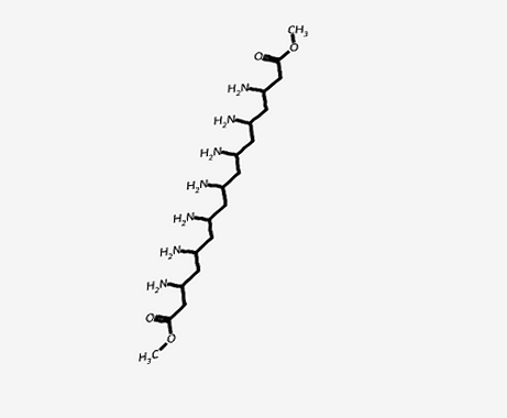 COC(=O)CC(N)CC(N)CC(N)CC(N)CC(N)CC(N)CC(N)CC(=O)OC